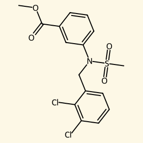 COC(=O)c1cccc(N(Cc2cccc(Cl)c2Cl)S(C)(=O)=O)c1